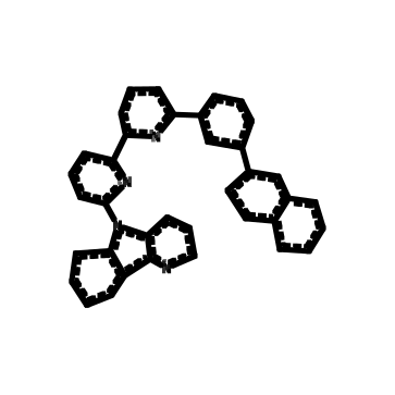 c1cc(-c2ccc3ccccc3c2)cc(-c2cccc(-c3cccc(-n4c5ccccc5c5ncccc54)n3)n2)c1